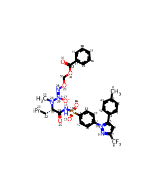 Cc1ccc(-c2cc(C(F)(F)F)nn2-c2ccc(S(=O)(=O)NC(=O)[C@H](CC(C)C)N(C)[N+]([O-])=NOCOC(=O)c3ccccc3)cc2)cc1